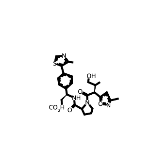 Cc1cc([C@@H](C(=O)N2CCCC2C(=O)N[C@@H](CC(=O)O)c2ccc(-c3scnc3C)cc2)C(C)CO)on1